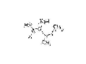 CCC(C)OC(=S)S.[NaH]